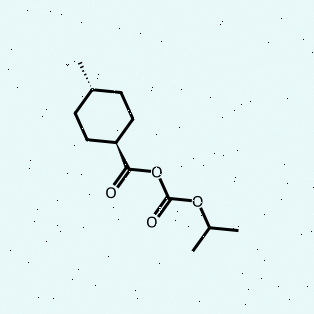 CC(C)OC(=O)OC(=O)[C@H]1CC[C@H](C)CC1